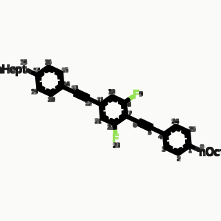 CCCCCCCCc1ccc(C#Cc2c(F)cc(C#Cc3ccc(CCCCCCC)cc3)cc2F)cc1